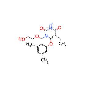 CCc1c(Oc2cc(C)cc(C)c2)n(COCCO)c(=O)[nH]c1=O